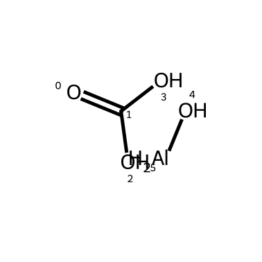 O=C(O)O.[OH][AlH2]